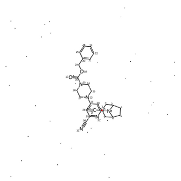 CN1CC2CCC(C1)N2c1cc(N2CCN(C(=O)OCc3ccccc3)CC2)cc(C#N)n1